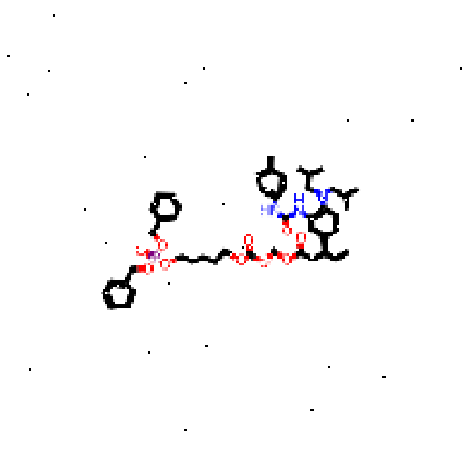 CCC(CC(=O)OCOC(=O)OCCCCCOP(=O)(OCc1ccccc1)OCc1ccccc1)c1ccc(N(CC(C)C)CC(C)C)c(NC(=O)Nc2ccc(C)cc2)c1